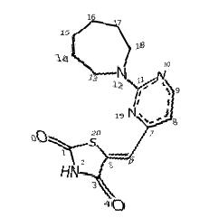 O=C1NC(=O)C(=Cc2ccnc(N3CCCCCC3)n2)S1